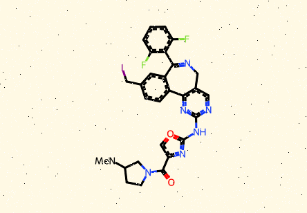 CNC1CCN(C(=O)c2coc(Nc3ncc4c(n3)-c3ccc(CI)cc3C(c3c(F)cccc3F)=NC4)n2)C1